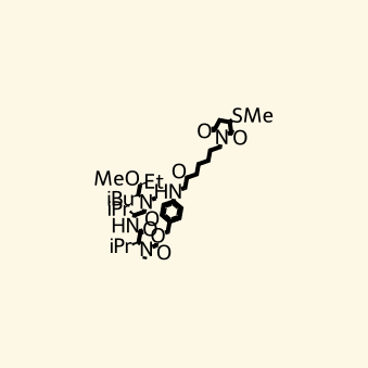 CC[C@H](C)[C@@H]([C@@H](CC)OC)N(C)C(=O)[C@@H](NC(=O)[C@H](C(C)C)N(C)C(=O)OCc1ccc(NCC(=O)CCCCCN2C(=O)CC(SC)C2=O)cc1)C(C)C